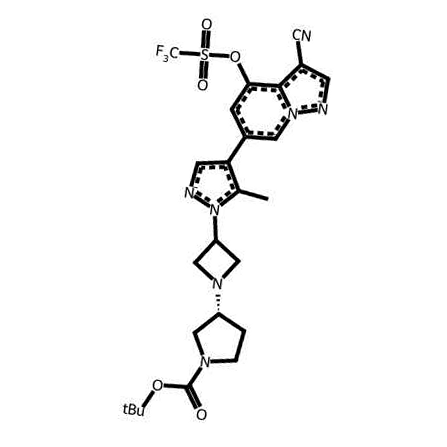 Cc1c(-c2cc(OS(=O)(=O)C(F)(F)F)c3c(C#N)cnn3c2)cnn1C1CN([C@@H]2CCN(C(=O)OC(C)(C)C)C2)C1